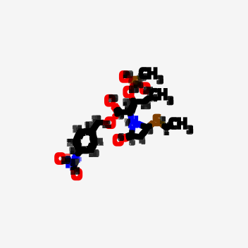 CCSC1CC(=O)N1C(C(=O)OCc1ccc([N+](=O)[O-])cc1)=C(CC)OS(C)(=O)=O